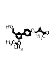 CC(=O)C1CC1COc1ccc(-c2cc(CCO)cc(OC(C)C)c2)cc1